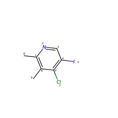 Cc1ncc(I)c(Cl)c1C